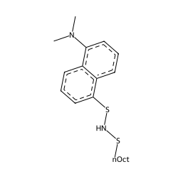 CCCCCCCCSNSc1cccc2c(N(C)C)cccc12